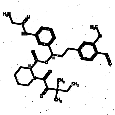 CCC(C)(C)C(=O)C(=O)N1CCCC[C@H]1C(=O)O[C@H](CCc1ccc(C=O)c(OC)c1)c1cccc(NC(=O)CN)c1